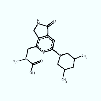 CC1CC(C)CN(c2cc3c(c(CN(C)C(=O)O)n2)CNC3=O)C1